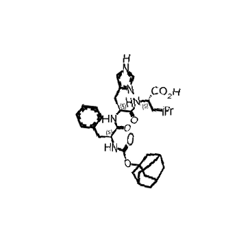 CC(C)C[C@H](NC(=O)[C@H](Cc1c[nH]cn1)NC(=O)[C@H](Cc1ccccc1)NC(=O)OC12CC3CC(CC(C3)C1)C2)C(=O)O